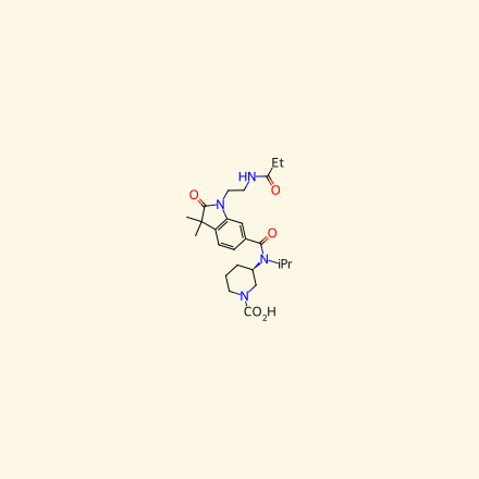 CCC(=O)NCCN1C(=O)C(C)(C)c2ccc(C(=O)N(C(C)C)[C@@H]3CCCN(C(=O)O)C3)cc21